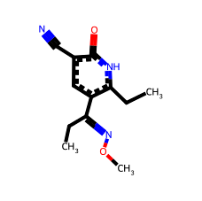 CCC(=NOC)c1cc(C#N)c(=O)[nH]c1CC